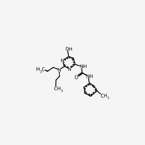 CCCN(CCC)c1nc(O)cc(NC(=O)Nc2cccc(C)c2)n1